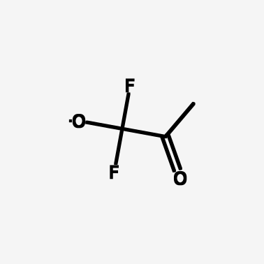 CC(=O)C([O])(F)F